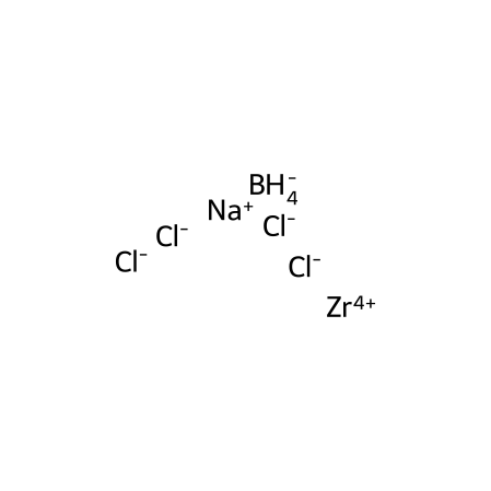 [BH4-].[Cl-].[Cl-].[Cl-].[Cl-].[Na+].[Zr+4]